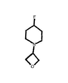 F[C]1CCN(C2COC2)CC1